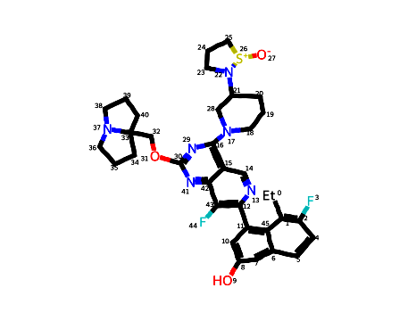 CCc1c(F)ccc2cc(O)cc(-c3ncc4c(N5CCCC(N6CCC[S+]6[O-])C5)nc(OCC56CCCN5CCC6)nc4c3F)c12